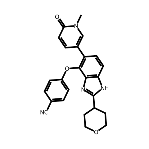 Cn1cc(-c2ccc3[nH]c(C4CCOCC4)nc3c2Oc2ccc(C#N)cc2)ccc1=O